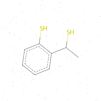 CC(S)c1ccccc1S